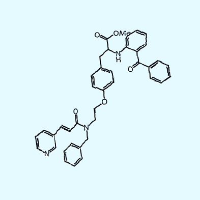 COC(=O)C(Cc1ccc(OCCN(Cc2ccccc2)C(=O)C=Cc2cccnc2)cc1)Nc1ccccc1C(=O)c1ccccc1